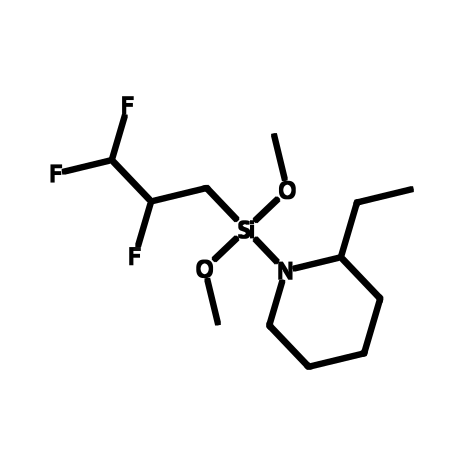 CCC1CCCCN1[Si](CC(F)C(F)F)(OC)OC